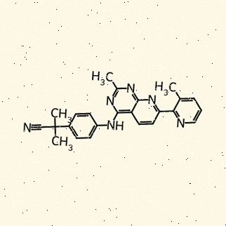 Cc1nc(Nc2ccc(C(C)(C)C#N)cc2)c2ccc(-c3ncccc3C)nc2n1